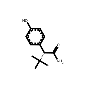 [CH2]C(C)(C)[C@@H](C(N)=O)c1ccc(O)cc1